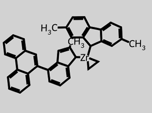 CC1=Cc2c(-c3cc4ccccc4c4ccccc34)cccc2[CH]1[Zr]1([CH]2c3cc(C)ccc3-c3ccc(C)cc32)[CH2][CH2]1